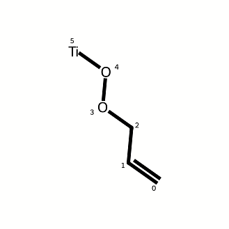 C=CCO[O][Ti]